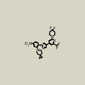 O=[N+]([O-])c1ccc(-n2cc(-c3cc(C(F)F)nc(N4CCC(F)(F)CC4)c3)cn2)c(N2CCC3(CC2)CC3)c1